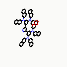 c1ccc2cc(N(c3cc(-c4cncc(-c5cc(N(c6ccc7ccccc7c6)c6ccc7ccccc7c6)cc(N(c6ccc7ccccc7c6)c6ccc7ccccc7c6)c5)c4)cc(N(c4ccc5ccccc5c4)c4ccc5ccccc5c4)c3)c3ccc4ccccc4c3)ccc2c1